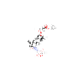 CC(CO)(CO)C(=O)N1CCN(C(=O)[C@]23CC[C@@H](C4CC4)[C@@H]2[C@H]2CC[C@@H]4[C@@]5(C)CC[C@H](OC(=O)[C@H]6C[C@@H](C(=O)OCc7ccccc7)C6(C)C)C(C)(C)[C@@H]5CC[C@@]4(C)[C@]2(C)CC3)CC1